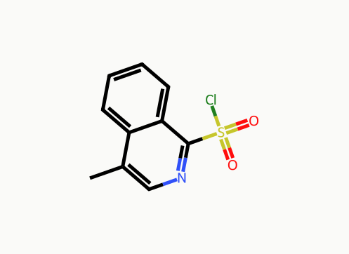 Cc1cnc(S(=O)(=O)Cl)c2ccccc12